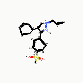 C=CCn1cc(-c2ccccc2)c(-c2ccc(S(C)(=O)=O)cc2)n1